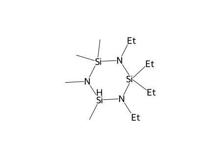 CCN1[SiH](C)N(C)[Si](C)(C)N(CC)[Si]1(CC)CC